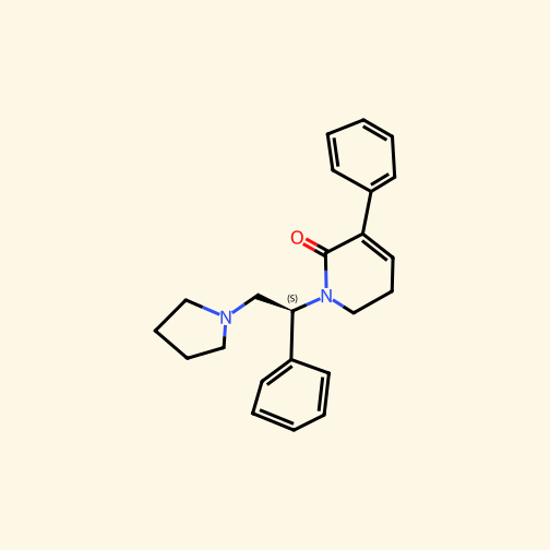 O=C1C(c2ccccc2)=CCCN1[C@H](CN1CCCC1)c1ccccc1